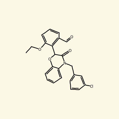 CCOc1cccc(C=O)c1C1Oc2ccccc2N(Cc2cccc(Cl)c2)C1=O